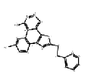 Oc1nncc2c3[nH]c(CCc4ccccn4)nc3c3ccc(F)cc3c12